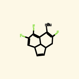 CCCCC1=C(F)CC2C=CC3C=C(F)C(F)=C1C32